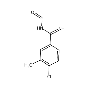 Cc1cc(C(=N)NC=O)ccc1Cl